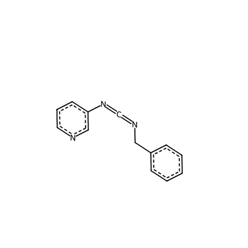 C(=NCc1ccccc1)=Nc1cccnc1